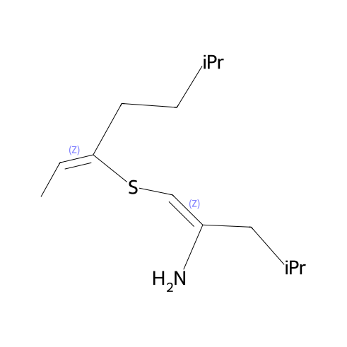 C/C=C(/CCC(C)C)S/C=C(\N)CC(C)C